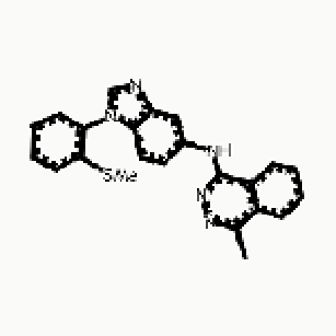 CSc1ccccc1-n1cnc2cc(Nc3nnc(C)c4ccccc34)ccc21